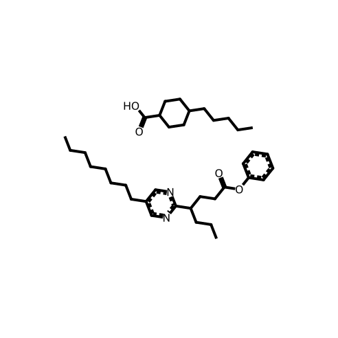 CCCCCC1CCC(C(=O)O)CC1.CCCCCCCCc1cnc(C(CCC)CCC(=O)Oc2ccccc2)nc1